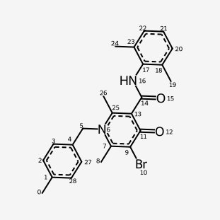 Cc1ccc(Cn2c(C)c(Br)c(=O)c(C(=O)Nc3c(C)cccc3C)c2C)cc1